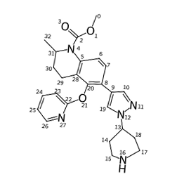 COC(=O)N1c2ccc(-c3cnn(C4CCNCC4)c3)c(Oc3ccccn3)c2CCC1C